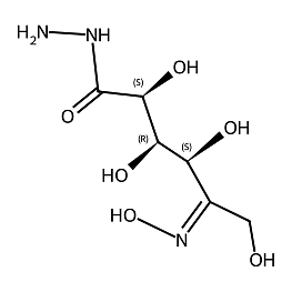 NNC(=O)[C@@H](O)[C@H](O)[C@@H](O)C(CO)=NO